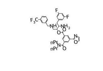 CCCN(CCC)C(=O)c1cc(C(=O)OC(CNCc2cccc(C(F)(F)F)c2)C(N)Cc2cc(F)cc(F)c2)cc(-c2ncco2)c1